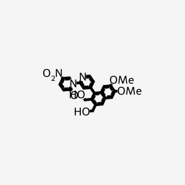 COc1cc2cc(CO)c(CO)c(-c3ccnc(-n4cc([N+](=O)[O-])ccc4=O)c3)c2cc1OC